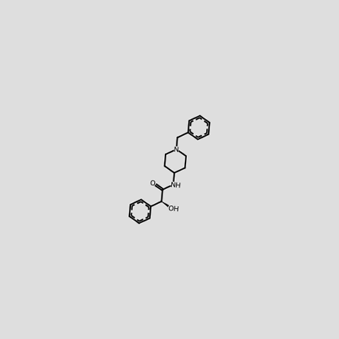 O=C(NC1CCN(Cc2ccccc2)CC1)[C@@H](O)c1ccccc1